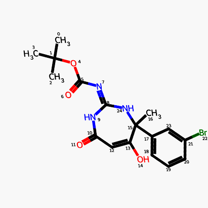 CC(C)(C)OC(=O)/N=C1\NC(=O)C=C(O)C(C)(c2cccc(Br)c2)N1